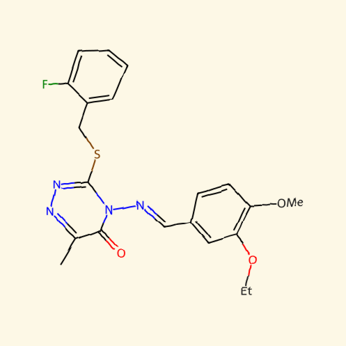 CCOc1cc(C=Nn2c(SCc3ccccc3F)nnc(C)c2=O)ccc1OC